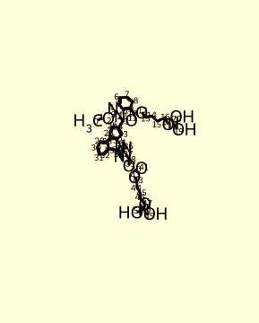 CCOc1nc2cccc(C(=O)OCCCCON(O)O)c2n1Cc1ccc(-c2ccccc2-c2nnn(COC(=O)OCCCCON(O)O)n2)cc1